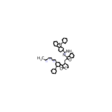 C\C=C/C=C\C=C\c1cc(-c2ccccc2)c2oc3cccc(Cc4oc5ccccc5c4/N=C(\N)c4ccc5c6ccccc6n(-c6ccccc6)c5c4)c3c2c1